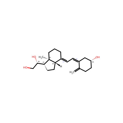 C=C1CC[C@@H](O)C/C1=C/C=C1\CCC[C@]2(C)[C@@H]([C@@H](O)CO)CC[C@@H]12